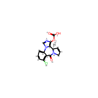 O=C(O)Oc1ncn2c1[C@H]1C=CCN1C(=O)c1c(Cl)cccc1-2